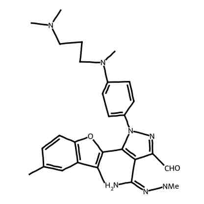 CN/N=C(/N)c1c(C=O)nn(-c2ccc(N(C)CCCN(C)C)cc2)c1-c1oc2ccc(C)cc2c1C